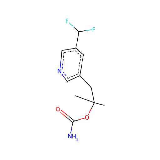 CC(C)(Cc1cncc(C(F)F)c1)OC(N)=O